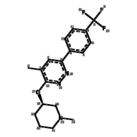 Cc1cc(-c2ccc(C(F)(F)F)cc2)nnc1O[C@@H]1CCCN(C)C1